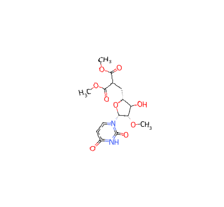 COC(=O)C(C[C@H]1O[C@@H](n2ccc(=O)[nH]c2=O)[C@@H](OC)C1O)C(=O)OC